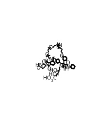 CC(C)c1c(C(=O)Nc2ccccc2)c(-c2cccc(OCCCc3cn(CCOC(C)(C)CCOC(C)(C)CNc4cccc5c4C(=O)N(C4CCC(=O)NC4=O)C5=O)nn3)c2)c(-c2ccc(F)cc2)n1CC[C@@H](O)C[C@@H](O)CC(=O)O